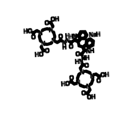 O=C(O)CN1CCN(CC(=O)O)CCN(CC(=O)NNC(=O)c2[nH]c3ccccc3c2Cc2c(C(=O)NNC(=O)CN3CCN(CC(=O)O)CCN(CC(=O)O)CCN(CC(=O)O)CC3)[nH]c3ccccc23)CCN(CC(=O)O)CC1.[NaH]